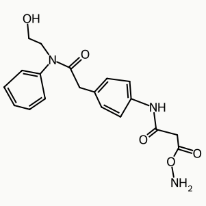 NOC(=O)CC(=O)Nc1ccc(CC(=O)N(CCO)c2ccccc2)cc1